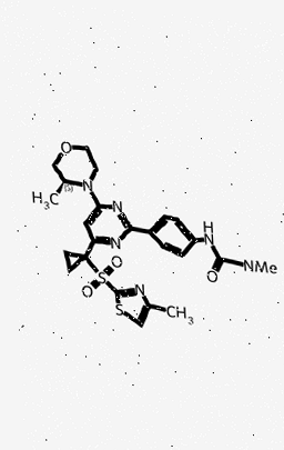 CNC(=O)Nc1ccc(-c2nc(N3CCOC[C@@H]3C)cc(C3(S(=O)(=O)c4nc(C)cs4)CC3)n2)cc1